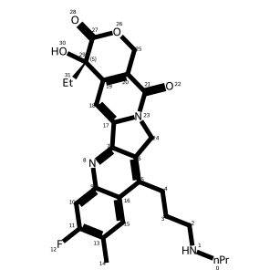 CCCNCCCc1c2c(nc3cc(F)c(C)cc13)-c1cc3c(c(=O)n1C2)COC(=O)[C@]3(O)CC